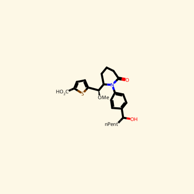 CCCCCC(O)c1ccc(N2C(=O)CCCC2[C@@H](OC)c2ccc(C(=O)O)s2)cc1